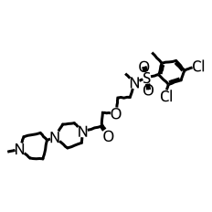 Cc1cc(Cl)cc(Cl)c1S(=O)(=O)N(C)CCOCC(=O)N1CCN(C2CCN(C)CC2)CC1